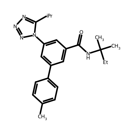 CCC(C)(C)NC(=O)c1cc(-c2ccc(C)cc2)cc(-n2nnnc2C(C)C)c1